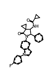 O=C(NC1C(c2ccccc2)N(c2ccc3c(ccn3-c3ccc(F)cc3)c2)C(=O)C12CC2)C1CC1